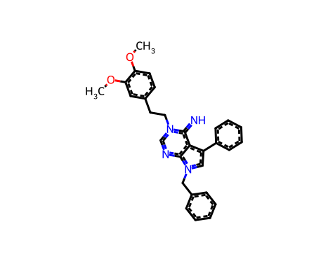 COc1ccc(CCn2cnc3c(c(-c4ccccc4)cn3Cc3ccccc3)c2=N)cc1OC